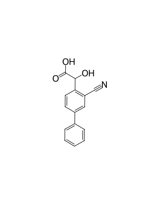 N#Cc1cc(-c2ccccc2)ccc1C(O)C(=O)O